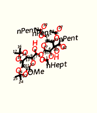 CCCCCCCC(=O)O[C@@H]1[C@H](OC(O)[C@@H](OCOC)[C@H]2OC(C)(C)O[C@@H]2[C@@H]2COC(C)(C)O2)O[C@H](COC(=O)CCCCC)[C@@H](OC(=O)CCCCC)[C@@]1(O)C(=O)CCCCC